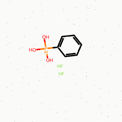 F.F.O[PH](O)(O)c1ccccc1